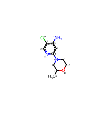 CC1CN(c2cc(N)c(Cl)cn2)CCO1